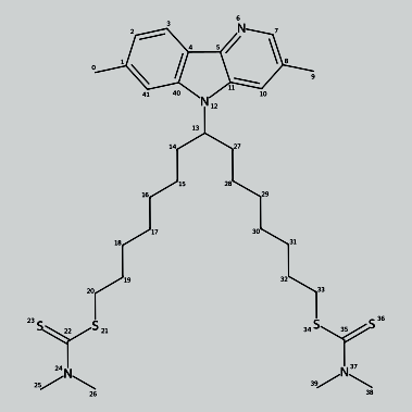 Cc1ccc2c3ncc(C)cc3n(C(CCCCCCCSC(=S)N(C)C)CCCCCCCSC(=S)N(C)C)c2c1